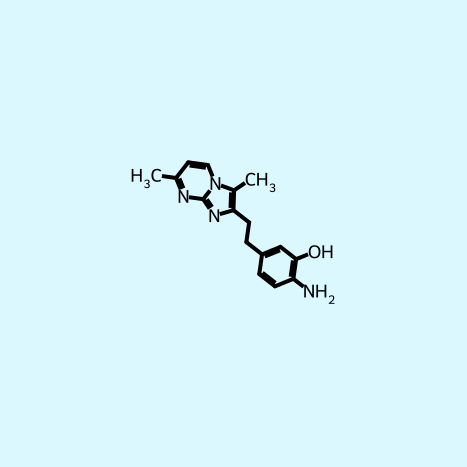 Cc1ccn2c(C)c(CCc3ccc(N)c(O)c3)nc2n1